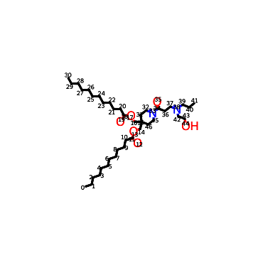 CCCCCCCCCCCC(=O)OCC1(COC(=O)CCCCCCCCCCC)CCN(C(=O)CCN(CCC)CCO)CC1